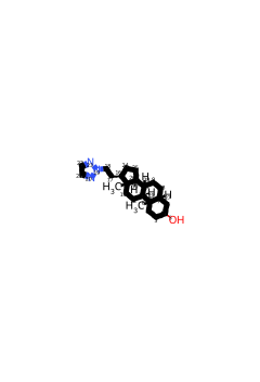 C[C@]12CC[C@@H](O)C[C@H]1CC[C@@H]1[C@@H]2CC[C@]2(C)[C@@H](CCn3nccn3)CC[C@@H]12